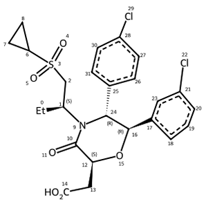 CC[C@@H](CS(=O)(=O)C1CC1)N1C(=O)[C@H](CC(=O)O)O[C@H](c2cccc(Cl)c2)[C@H]1c1ccc(Cl)cc1